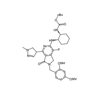 CCCCOC(=O)N[C@H]1CCCC[C@H]1Nc1nc(C2C=NN(C)C2)c2c(c1F)CN(Cc1ccc(OC)cc1OC)C2=O